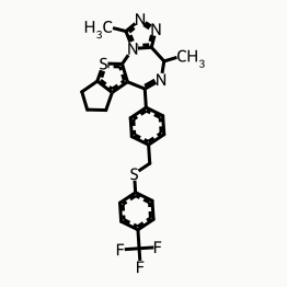 Cc1nnc2n1-c1sc3c(c1C(c1ccc(CSc4ccc(C(F)(F)F)cc4)cc1)=NC2C)CCC3